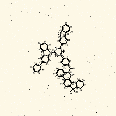 CC(c1ccc(-c2nc(-c3ccc4c(c3)oc3ccccc34)nc(-n3c4ccccc4c4cc(-c5ccccc5)ccc43)n2)cc1)C1Cc2c(ccc3c2C2=C(CCC=C2)C3(C)C)-c2ccccc21